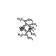 CCCc1cc(CCC)cc(-c2cc(-c3cc(CCC)cc(CCC)c3)cc(-c3ccc4c(c3)c3cc(-c5cc(-c6cc(CCC)cc(CCC)c6)cc(-c6cc(CCC)cc(CCC)c6)c5)ccc3n4-c3ccccc3C(F)(F)F)c2)c1